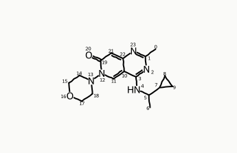 Cc1nc(NC(C)C2CC2)c2cn(N3CCOCC3)c(=O)cc2n1